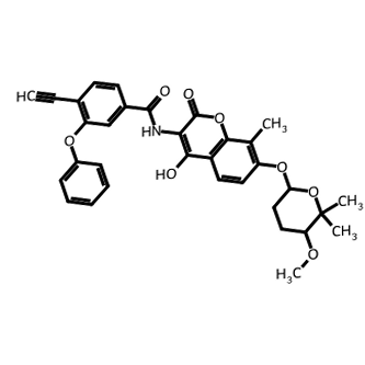 C#Cc1ccc(C(=O)Nc2c(O)c3ccc(OC4CCC(OC)C(C)(C)O4)c(C)c3oc2=O)cc1Oc1ccccc1